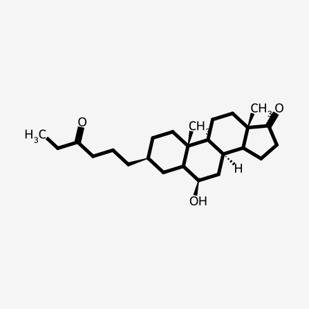 CCC(=O)CCC[C@H]1CC[C@]2(C)C3CC[C@]4(C)C(=O)CCC4[C@H]3C[C@@H](O)C2C1